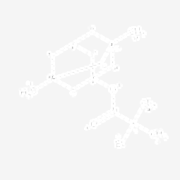 CCC(C)(C(=O)OC12CC3CC(C)(CC(C)(C3)C1)C2)C(F)(F)F